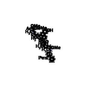 CCC[C@H](C)[C@@H]1CC[C@H](/C=C(\C)[C@H](C[C@@H]2CC[C@@H](C)[C@](O)(C(=O)C(=O)N3CCCC4[C@H]3C(=O)O[C@@H](CC(=O)[C@H](C)/C=C(\C)[C@@H](O)[C@@H](OC)C(C)=O)[C@H]4C[C@@H]3CC[C@@H](O)[C@H](OC)C3)O2)OC)ON1c1ccccc1